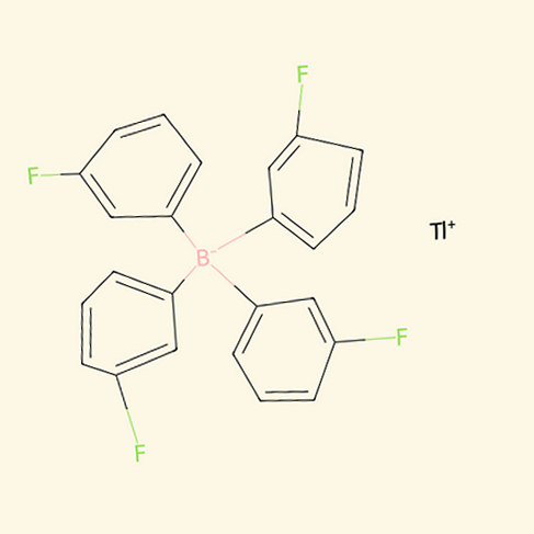 Fc1cccc([B-](c2cccc(F)c2)(c2cccc(F)c2)c2cccc(F)c2)c1.[Tl+]